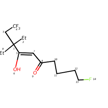 CCC(CC)(CC(F)(F)F)/C(O)=C/C(=O)CCCCF